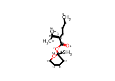 CCCCC(C(=O)OC1([SiH3])CCCCO1)=C(C)C